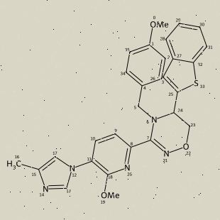 COc1ccc(CN2C(c3ccc(-n4cnc(C)c4)c(OC)n3)=NOCC2c2cc3ccccc3s2)cc1